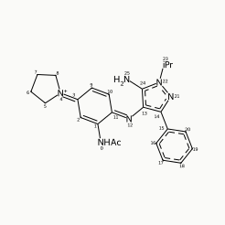 CC(=O)NC1=CC(=[N+]2CCCC2)C=C/C1=N\c1c(-c2ccccc2)nn(C(C)C)c1N